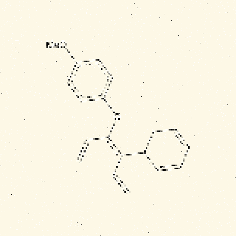 C=C/C(Oc1ccc(OC)cc1)=C(\C=C)C1C=CC=CC1